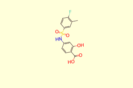 Cc1cc(S(=O)(=O)Nc2ccc(C(=O)O)c(O)c2)ccc1F